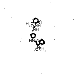 Cc1cccc(Cl)c1NC(=O)NC[C@H]1CC[C@@H](Nc2cc(N(C)C)c3ccccc3n2)CC1